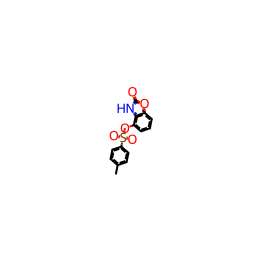 Cc1ccc(S(=O)(=O)Oc2cccc3oc(=O)[nH]c23)cc1